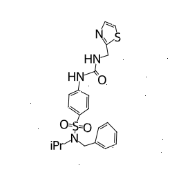 CC(C)N(Cc1ccccc1)S(=O)(=O)c1ccc(NC(=O)NCc2nccs2)cc1